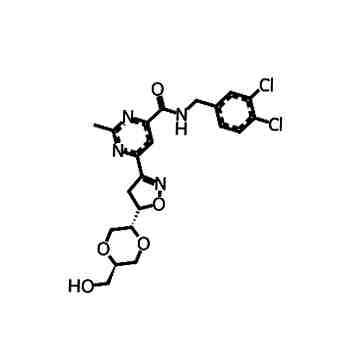 Cc1nc(C(=O)NCc2ccc(Cl)c(Cl)c2)cc(C2=NOC([C@H]3CO[C@H](CO)CO3)C2)n1